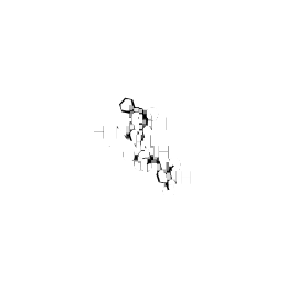 CC(=O)[C@H](CCC(NC(=N)N)NS(=O)(=O)Cc1ccccc1)NC(=O)Cn1ccc(=O)[nH]c1=O